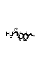 CCc1cnc2c(c1)CN(C(=O)P)CC2